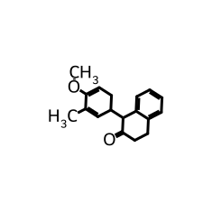 COC1=CCC(C2C(=O)CCc3ccccc32)C=C1C